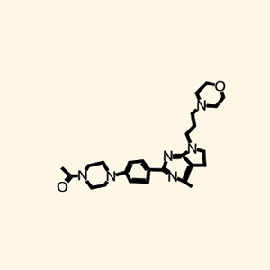 CC(=O)N1CCN(c2ccc(-c3nc(C)c4c(n3)N(CCCN3CCOCC3)CC4)cc2)CC1